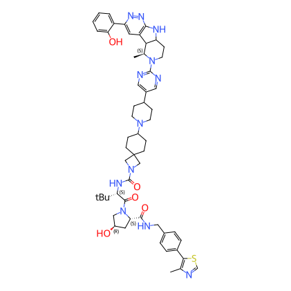 Cc1ncsc1-c1ccc(CNC(=O)[C@@H]2C[C@@H](O)CN2C(=O)[C@@H](NC(=O)N2CC3(CCC(N4CCC(c5cnc(N6CCC7Nc8nnc(-c9ccccc9O)cc8C7[C@@H]6C)nc5)CC4)CC3)C2)C(C)(C)C)cc1